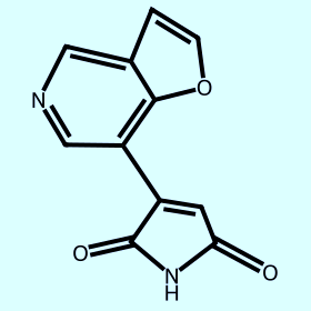 O=C1C=C(c2cncc3ccoc23)C(=O)N1